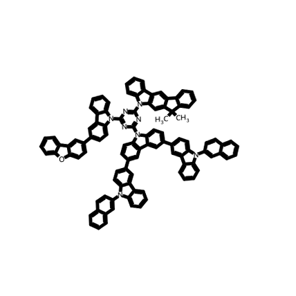 CC1(C)c2ccccc2-c2cc3c4ccccc4n(-c4nc(-n5c6ccccc6c6cc(-c7ccc8oc9ccccc9c8c7)ccc65)nc(-n5c6ccc(-c7ccc8c(c7)c7ccccc7n8-c7ccc8ccccc8c7)cc6c6cc(-c7ccc8c(c7)c7ccccc7n8-c7ccc8ccccc8c7)ccc65)n4)c3cc21